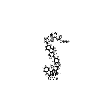 CCCN(Cc1ncc(-c2ccc3c(c2)C(F)(F)c2cc(-c4ccc5nc(CN(CCC)C(=O)[C@H](NC(=O)OC)c6ccccc6)[nH]c5c4)ccc2-3)[nH]1)C(=O)CNC(=O)OC